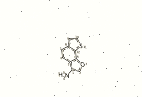 Nc1coc2c1ccc1ccsc12